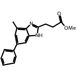 COC(=O)CCc1nc2c(C)cc(-c3ccccc3)cc2[nH]1